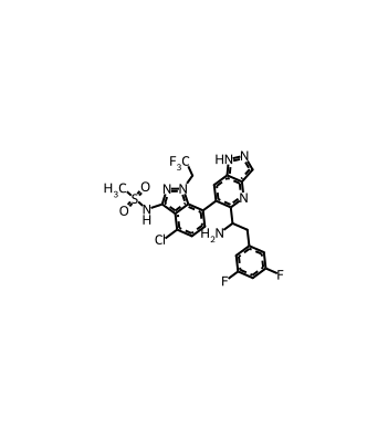 CS(=O)(=O)Nc1nn(CC(F)(F)F)c2c(-c3cc4[nH]ncc4nc3C(N)Cc3cc(F)cc(F)c3)ccc(Cl)c12